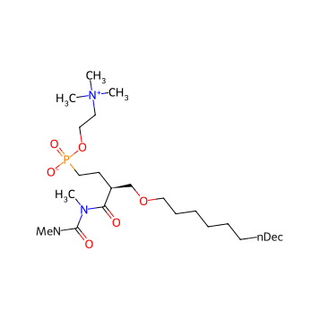 CCCCCCCCCCCCCCCCOC[C@H](CCP(=O)([O-])OCC[N+](C)(C)C)C(=O)N(C)C(=O)NC